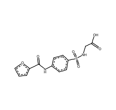 O=C(O)CNS(=O)(=O)c1ccc(NC(=O)c2ccco2)cc1